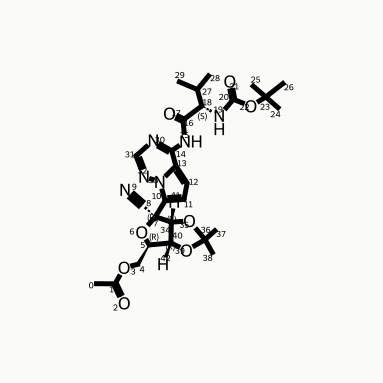 CC(=O)OC[C@H]1O[C@@](C#N)(c2ccc3c(NC(=O)[C@@H](NC(=O)OC(C)(C)C)C(C)C)ncnn23)[C@@H]2OC(C)(C)O[C@@H]21